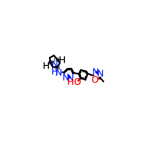 Cc1nnc(-c2ccc(-c3ccc(N(C)[C@H]4C[C@H]5CC[C@@H](C4)N5)nn3)c(O)c2)o1